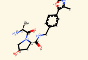 Cc1ncoc1-c1ccc(CNC(=O)[C@@H]2C[C@@H](O)CN2C(=O)[C@@H](N)C(C)(C)C)cc1